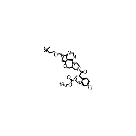 CC(C)N(C[C@@H](C(=O)N1CCN2c3ncnc4c3c(cn4COCC[Si](C)(C)C)OCC2C1)c1ccc(Cl)cc1)C(=O)OC(C)(C)C